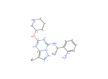 CC(C)c1cnn2c(NC(C)c3ccccc3N)nc(OC3CCCNC3)nc12